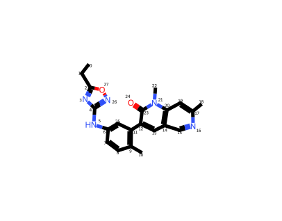 CCc1nc(Nc2ccc(C)c(-c3cc4cnc(C)cc4n(C)c3=O)c2)no1